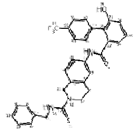 O=C(Nc1ccc2c(c1)CCN(C(=S)NCc1ccccc1)C2)c1cccc(O)c1-c1ccc(C(F)(F)F)cc1